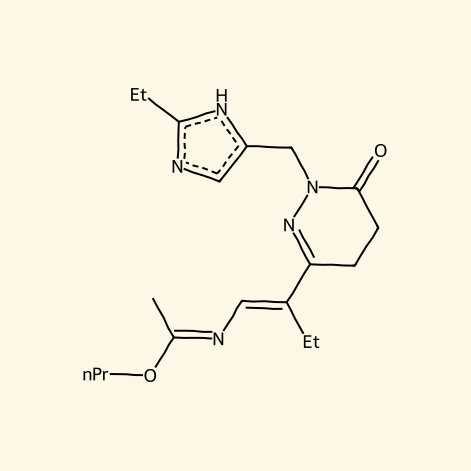 CCCO/C(C)=N/C=C(\CC)C1=NN(Cc2cnc(CC)[nH]2)C(=O)CC1